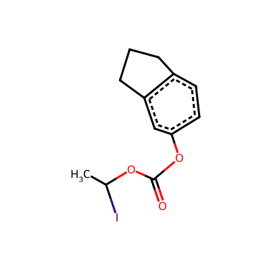 CC(I)OC(=O)Oc1ccc2c(c1)CCC2